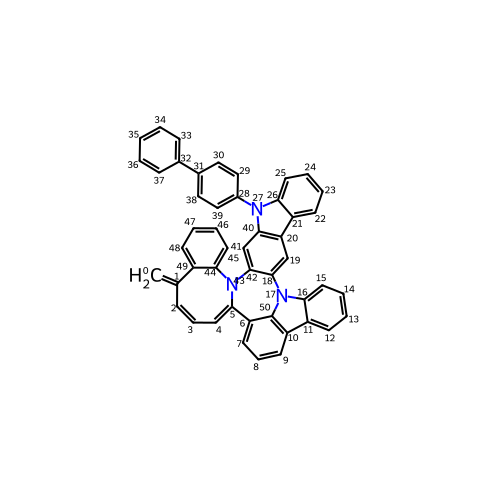 C=c1cccc2c3cccc4c5ccccc5n(c5cc6c7ccccc7n(-c7ccc(-c8ccccc8)cc7)c6cc5n2c2ccccc12)c43